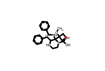 COC1(C2(NC(=O)c3ccccc3)C(Cc3ccccc3)NCCN2C(=O)O)CNC1